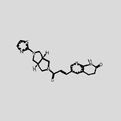 O=C1CCc2cc(/C=C/C(=O)N3C[C@@H]4CN(c5nccs5)C[C@@H]4C3)cnc2N1